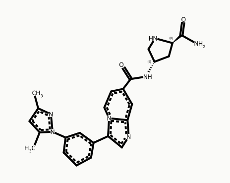 Cc1cc(C)n(-c2cccc(-c3cnc4cc(C(=O)N[C@@H]5CN[C@@H](C(N)=O)C5)ccn34)c2)n1